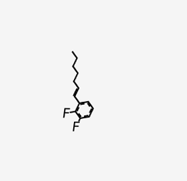 CCCCC/C=C/c1cccc(F)c1F